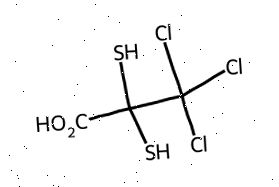 O=C(O)C(S)(S)C(Cl)(Cl)Cl